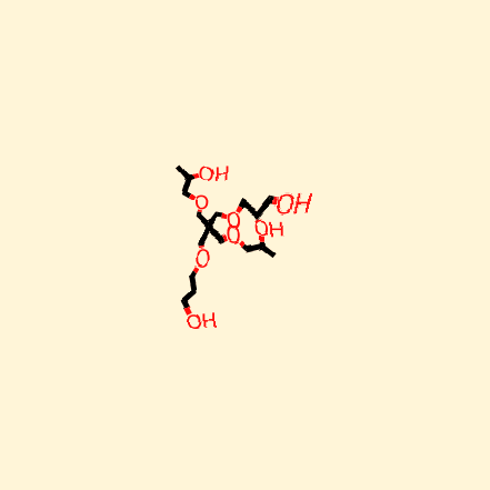 CC(O)COCC(COCCCO)(COCCCO)COCC(C)O